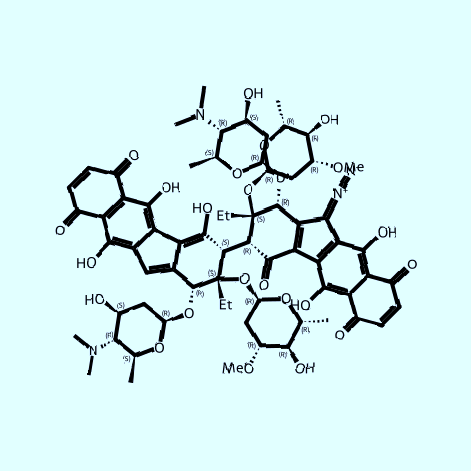 CC[C@@]1(O[C@@H]2C[C@@H](OC)[C@H](O)[C@@H](C)O2)[C@H](O[C@@H]2C[C@H](O)[C@@H](N(C)C)[C@H](C)O2)C2=Cc3c(O)c4c(c(O)c3C2=C(O)[C@@H]1[C@H]1C(=O)c2c(c(=[N+]=[N-])c3c(O)c5c(=O)ccc(=O)c5c(O)c23)[C@@H](O[C@@H]2C[C@H](O)[C@@H](N(C)C)[C@H](C)O2)[C@@]1(CC)O[C@@H]1C[C@@H](OC)[C@H](O)[C@@H](C)O1)C(=O)C=CC4=O